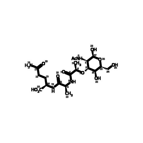 CC(=O)N[C@H]1[C@@H](O[C@H](C)C(=O)N[C@@H](C)C(=O)N[C@H](CCC(N)=O)C(=O)O)[C@H](O)[C@@H](CO)O[C@@H]1O